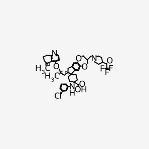 C[C@@H](COc1ccnc2c1[C@H](C)CCC2)C[C@H]1Cc2cc3c(cc2C12CCC(Nc1cccc(Cl)c1)(C(=O)O)CC2)OCC(CN1CCC(C(=O)C(F)(F)F)CC1)CO3